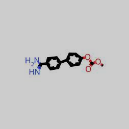 COC(=O)Oc1ccc(-c2ccc(C(=N)N)cc2)cc1